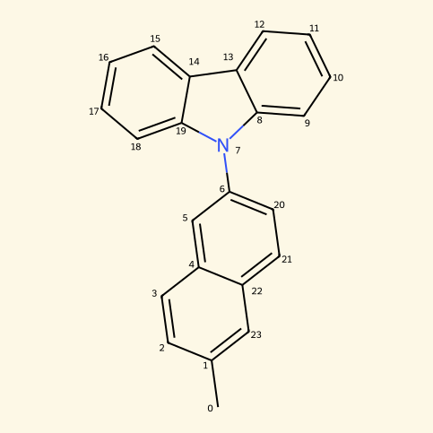 Cc1ccc2cc(-n3c4ccccc4c4ccccc43)ccc2c1